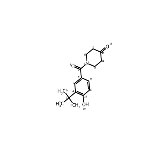 CC(C)(C)c1cc(C(=O)N2CCC(=O)CC2)ccc1O